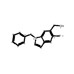 OCc1cc2c(ccn2Cc2ccccc2)cc1F